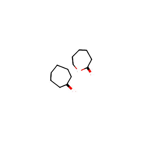 O=C1CCCCCC1.O=C1CCCCCO1